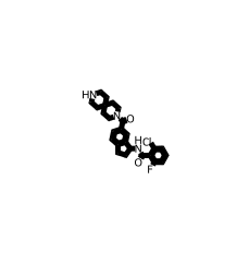 O=C(NC1CCc2ccc(C(=O)N3CCC4(CCNCC4)CC3)cc21)c1c(F)cccc1Cl